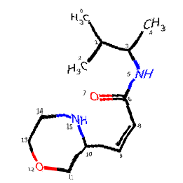 CC(C)C(C)NC(=O)/C=C\C1COCCN1